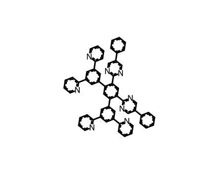 c1ccc(-c2cnc(-c3cc(-c4ncc(-c5ccccc5)cn4)c(-c4cc(-c5ccccn5)cc(-c5ccccn5)c4)cc3-c3cc(-c4ccccn4)cc(-c4ccccn4)c3)nc2)cc1